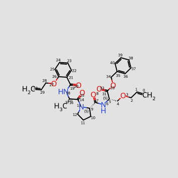 C=CCOC[C@H](NC(=O)[C@@H]1CCCN1C(=O)[C@H](C)NC(=O)c1ccccc1OCC=C)C(=O)OCc1ccccc1